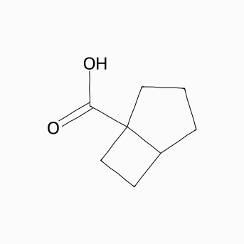 O=C(O)C12CCCC1CC2